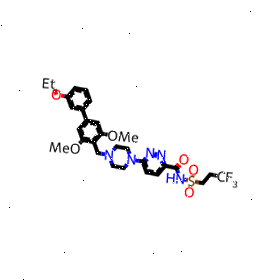 CCOc1cccc(-c2cc(OC)c(CN3CCN(c4ccc(C(=O)NS(=O)(=O)CCC(F)(F)F)nn4)CC3)c(OC)c2)c1